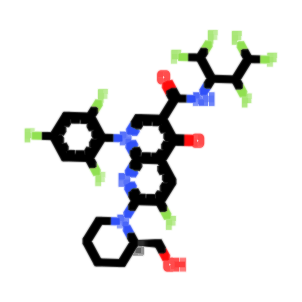 O=C(NC(C(F)F)C(F)C(F)F)c1cn(-c2c(F)cc(F)cc2F)c2nc(N3CCCC[C@@H]3CO)c(F)cc2c1=O